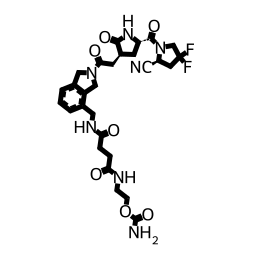 N#C[C@@H]1CC(F)(F)CN1C(=O)[C@@H]1C[C@@H](CC(=O)N2Cc3cccc(CNC(=O)CCC(=O)NCCOC(N)=O)c3C2)C(=O)N1